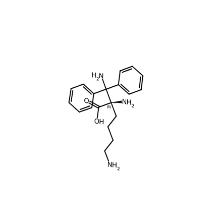 NCCCC[C@](N)(C(=O)O)C(N)(c1ccccc1)c1ccccc1